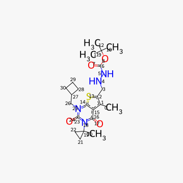 Cc1c(CNNC(=O)OC(C)(C)C)sc2c1c(=O)n(C1(C)CC1)c(=O)n2CC1CCC1